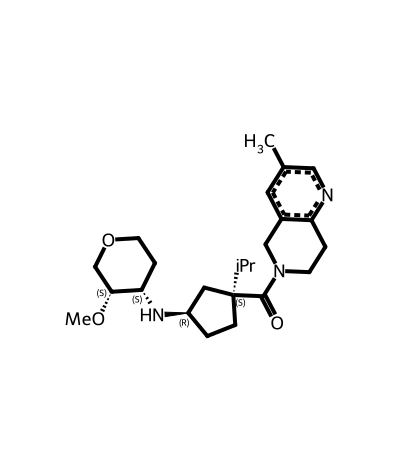 CO[C@@H]1COCC[C@@H]1N[C@@H]1CC[C@@](C(=O)N2CCc3ncc(C)cc3C2)(C(C)C)C1